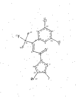 Cc1sc(C(=O)/C=C(\c2cc(Cl)cc(Cl)c2)C(F)(F)F)cc1Br